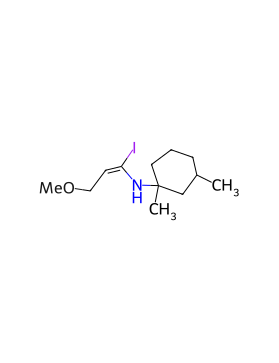 COC/C=C(/I)NC1(C)CCCC(C)C1